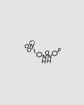 O=C(Nc1ccc(F)cc1)Nc1ccc(C=CC(=O)N2CCC=CC2=O)cc1